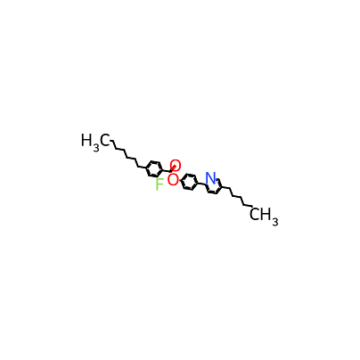 CCCCCCCc1ccc(C(=O)Oc2ccc(-c3ccc(CCCCCC)cn3)cc2)c(F)c1